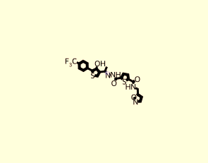 C/C(=N\NC(=O)c1ccc(C(=O)NCc2ccno2)s1)c1csc(-c2ccc(C(F)(F)F)cc2)c1O